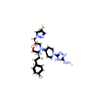 Nc1nnc(N2CCC(N3C[C@H](Cn4cc(F)cn4)OC[C@@H]3CCc3ccc(Cl)cc3)CC2)[nH]1